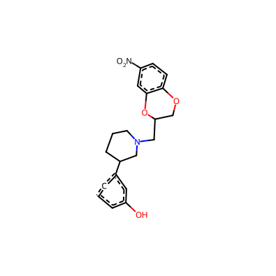 O=[N+]([O-])c1ccc2c(c1)OC(CN1CCCC(c3cccc(O)c3)C1)CO2